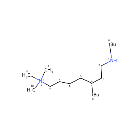 CC(C)(C)NCCC(CCCC[N+](C)(C)C)C(C)(C)C